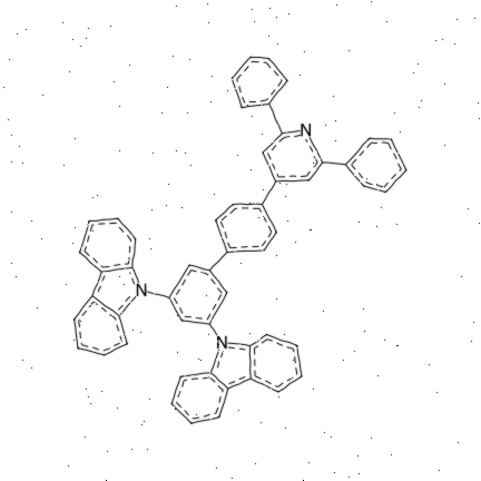 c1ccc(-c2cc(-c3ccc(-c4cc(-n5c6ccccc6c6ccccc65)cc(-n5c6ccccc6c6ccccc65)c4)cc3)cc(-c3ccccc3)n2)cc1